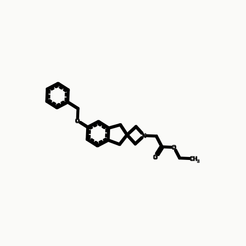 CCOC(=O)CN1CC2(Cc3ccc(OCc4ccccc4)cc3C2)C1